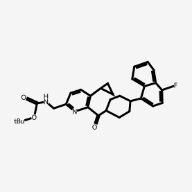 CC(C)(C)OC(=O)NCc1ccc(C2CC2)c(C(=O)C2CCC(c3ccc(F)c4ccccc34)CC2)n1